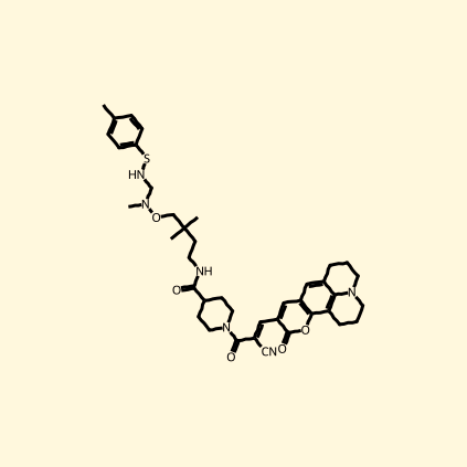 Cc1ccc(SNCN(C)OCC(C)(C)CCNC(=O)C2CCN(C(=O)/C(C#N)=C/c3cc4cc5c6c(c4oc3=O)CCCN6CCC5)CC2)cc1